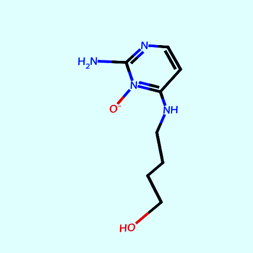 Nc1nccc(NCCCCO)[n+]1[O-]